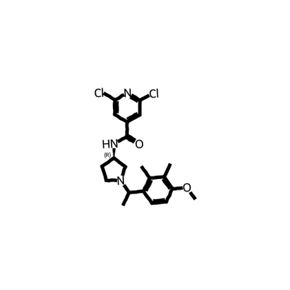 COc1ccc(C(C)N2CC[C@@H](NC(=O)c3cc(Cl)nc(Cl)c3)C2)c(C)c1C